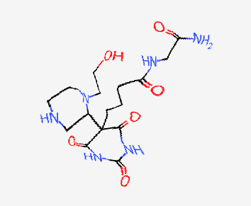 NC(=O)CNC(=O)CCCC1(C2CNCCN2CCO)C(=O)NC(=O)NC1=O